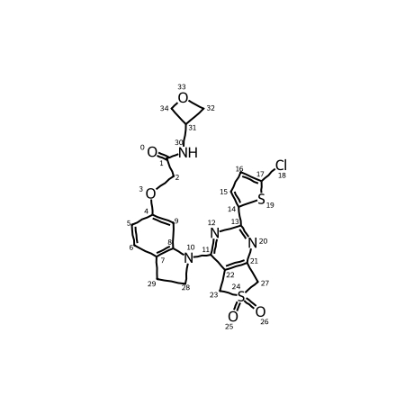 O=C(COc1ccc2c(c1)N(c1nc(-c3ccc(Cl)s3)nc3c1CS(=O)(=O)C3)CC2)NC1COC1